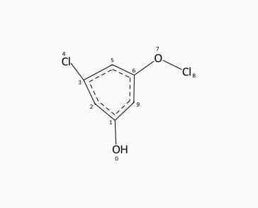 Oc1cc(Cl)cc(OCl)c1